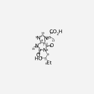 CCC(O)Cn1c(=O)c2c(ncn2[C@@H](C)C(=O)O)n(C)c1=O